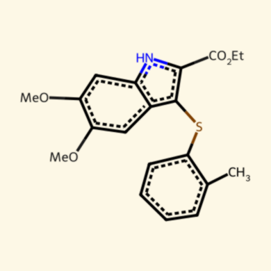 CCOC(=O)c1[nH]c2cc(OC)c(OC)cc2c1Sc1ccccc1C